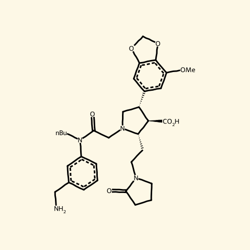 CCCCN(C(=O)CN1C[C@H](c2cc(OC)c3c(c2)OCO3)[C@@H](C(=O)O)[C@@H]1CCN1CCCC1=O)c1cccc(CN)c1